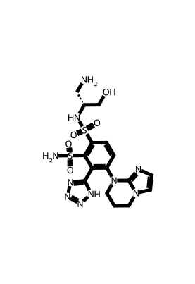 NC[C@H](CO)NS(=O)(=O)c1ccc(N2CCCn3ccnc32)c(-c2nnn[nH]2)c1S(N)(=O)=O